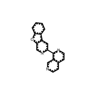 c1ccc2c(c1)oc1cnc(-c3nccc4ccncc34)cc12